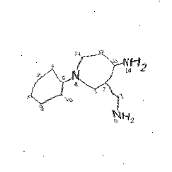 NCC1CN(C2CCCCC2)CCC1N